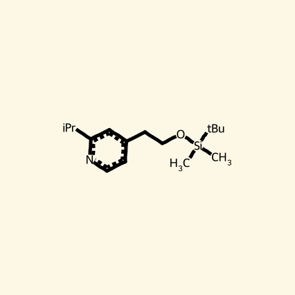 CC(C)c1cc(CCO[Si](C)(C)C(C)(C)C)ccn1